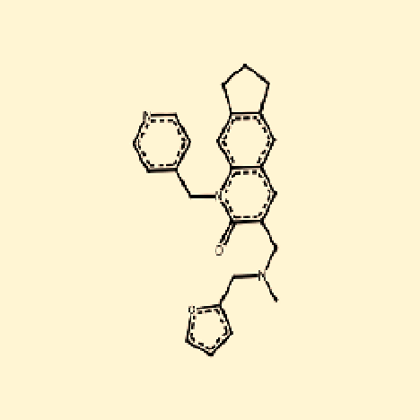 CN(Cc1ccco1)Cc1cc2cc3c(cc2n(Cc2ccncc2)c1=O)CCC3